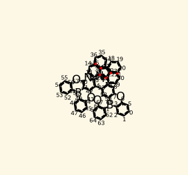 c1ccc2c(c1)Oc1cc(-n3c4ccccc4c4ccccc43)c(-c3c(-n4c5ccccc5c5ccccc54)nc4c5c3Oc3ccccc3B5c3ccccc3O4)c3c1B2c1ccccc1O3